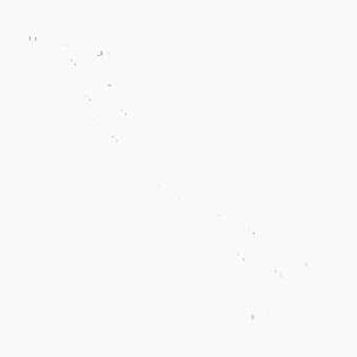 COC(=O)N[C@H](C(=O)N1CCC[C@H]1c1ncc(-c2ccc3cc(-c4ccc5nc([C@@H]6C[C@H](C7CC7)CN6C(=O)[C@@H](C)C(C)C)[nH]c5c4)ccc3c2)[nH]1)C(C)C